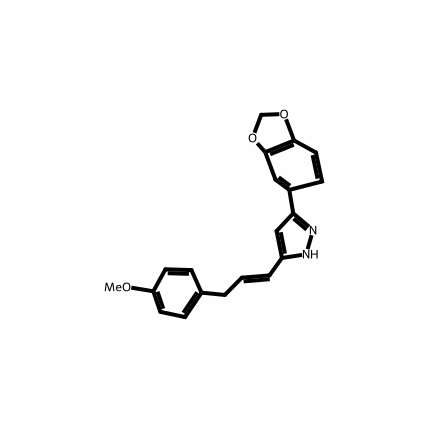 COc1ccc(CC=Cc2cc(-c3ccc4c(c3)OCO4)n[nH]2)cc1